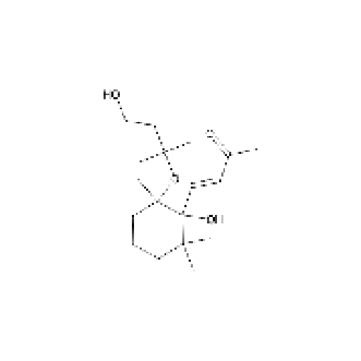 CC(=O)/C=C/C1(O)C(C)(C)CCCC1(C)OC(C)(C)CCO